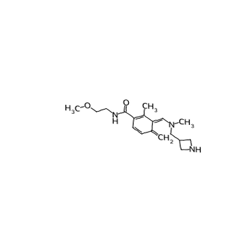 C=c1ccc(C(=O)NCCOC)c(C)/c1=C/N(C)CC1CNC1